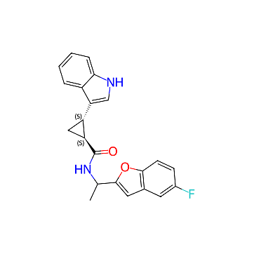 CC(NC(=O)[C@H]1C[C@@H]1c1c[nH]c2ccccc12)c1cc2cc(F)ccc2o1